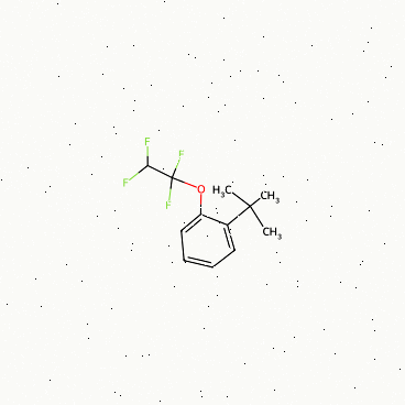 CC(C)(C)c1ccccc1OC(F)(F)C(F)F